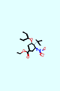 CCOC(=O)C1=C[C@@H](OC(CC)CC)[C@H](C(C)(C)C)C([N+](=O)[O-])C1